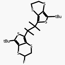 CC(C)(C)c1sc(C(C)(C)C(C)(C)c2sc(C(C)(C)C)c3c2SCC(F)S3)c2c1SCCS2